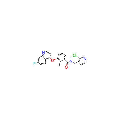 Cc1c(Oc2ccnc3cc(F)ccc23)cccc1C(=O)NCc1ccncc1Cl